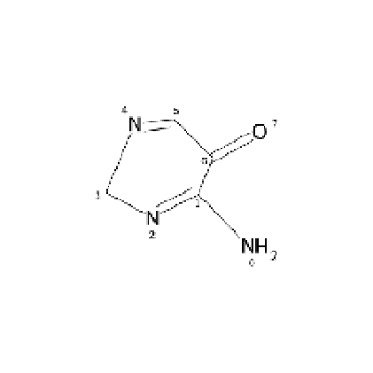 NC1=NCN=CC1=O